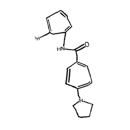 [3H]c1ccccc1NC(=O)c1ccc(N2CCCC2)cc1